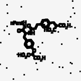 CCCCCNC(=O)C(Cc1ccc(OC(C(=O)O)C(=O)O)cc1)NC(=O)CCc1ccc(CC(C(=O)O)C(=O)O)cc1